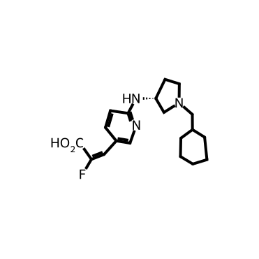 O=C(O)/C(F)=C\c1ccc(N[C@@H]2CCN(CC3CCCCC3)C2)nc1